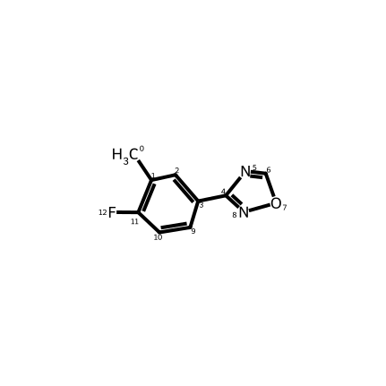 Cc1cc(-c2ncon2)ccc1F